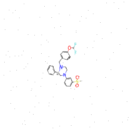 CS(=O)(=O)c1cccc(N2CCN(Cc3ccc(OC(F)F)cc3)[C@H](c3ccccc3)C2)c1